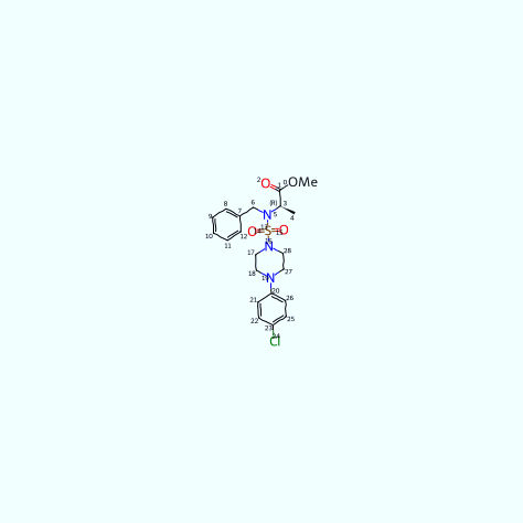 COC(=O)[C@@H](C)N(Cc1ccccc1)S(=O)(=O)N1CCN(c2ccc(Cl)cc2)CC1